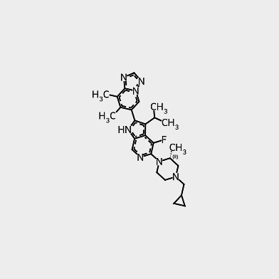 Cc1c(-c2[nH]c3cnc(N4CCN(CC5CC5)C[C@H]4C)c(F)c3c2C(C)C)cn2ncnc2c1C